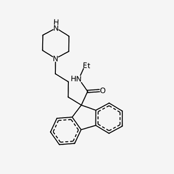 CCNC(=O)C1(CCCN2CCNCC2)c2ccccc2-c2ccccc21